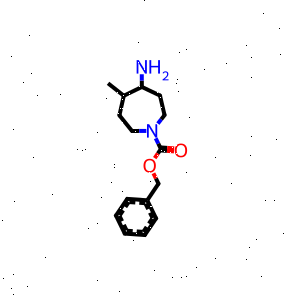 CC1CCN(C(=O)OCc2ccccc2)CCC1N